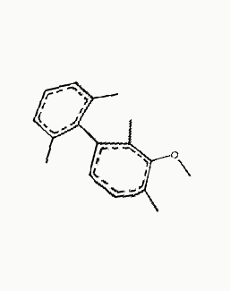 COc1c(C)ccc(-c2c(C)cccc2C)c1C